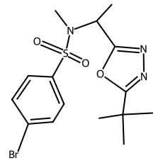 CC(c1nnc(C(C)(C)C)o1)N(C)S(=O)(=O)c1ccc(Br)cc1